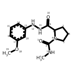 CNC(=O)N1CCCC1C(=O)NNc1cccc(OC)c1